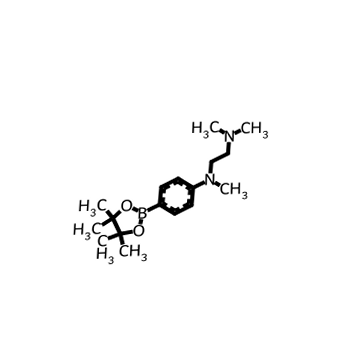 CN(C)CCN(C)c1ccc(B2OC(C)(C)C(C)(C)O2)cc1